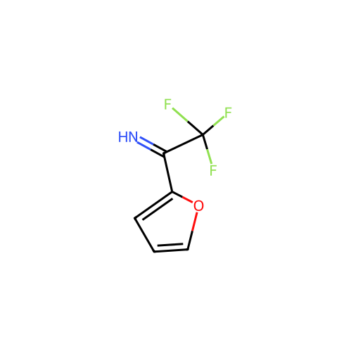 N=C(c1ccco1)C(F)(F)F